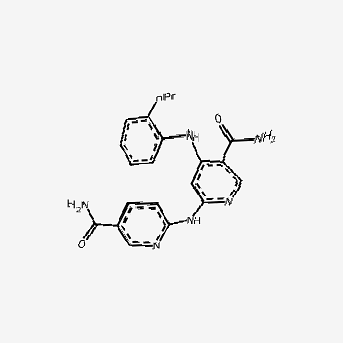 CCCc1ccccc1Nc1cc(Nc2ccc(C(N)=O)cn2)ncc1C(N)=O